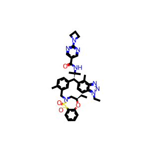 CC[C@@H]1CN(Cc2cc([C@@H](c3ccc4c(nnn4CC)c3C)C(C)(C)NC(=O)c3cnc(N4CCC4)nc3)ccc2C)S(=O)(=O)c2ccccc2O1